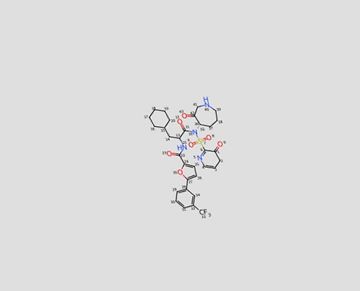 O=C1CC=CN=C1S(=O)(=O)N(C(=O)C(CC1CCCCC1)NC(=O)c1ccc(-c2cccc(C(F)(F)F)c2)o1)[C@H]1CCCNCC1=O